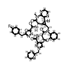 CN1C(=O)[C@@H](NC(=O)c2nnc(Cc3ccc(F)cc3)o2)C2=C(CN3C(=O)[C@@H](NC(=O)c4nn(Cc5ncccn5)cc4F)COc4ccccc43)[C@H]2c2nccnc21